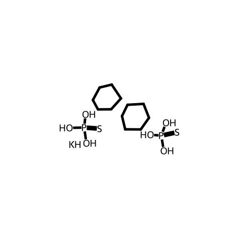 C1CCCCC1.C1CCCCC1.OP(O)(O)=S.OP(O)(O)=S.[KH]